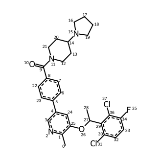 Cc1ncc(-c2ccc(C(=O)N3CCC(N4CCCC4)CC3)cc2)cc1OC(C)c1c(Cl)ccc(F)c1Cl